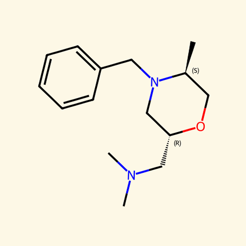 C[C@H]1CO[C@H](CN(C)C)CN1Cc1ccccc1